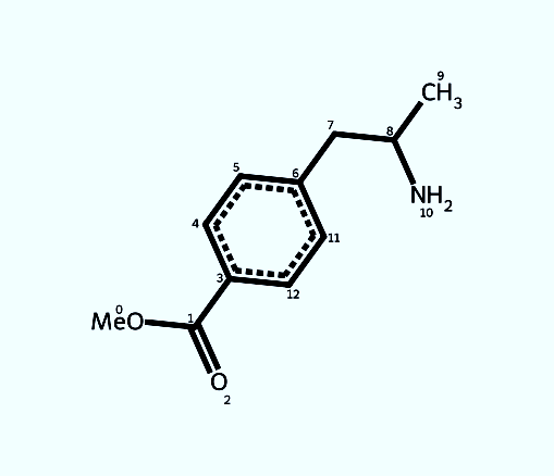 COC(=O)c1ccc(CC(C)N)cc1